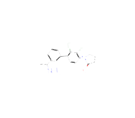 CC(N)c1cccc(-c2ccc(N3CCCC3=O)c(F)c2F)c1